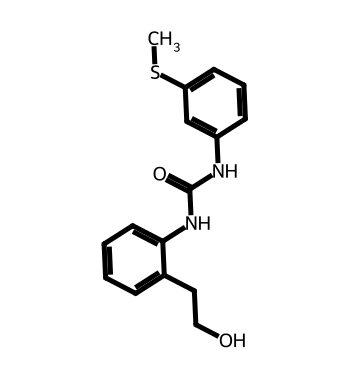 CSc1cccc(NC(=O)Nc2ccccc2CCO)c1